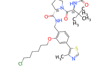 Cc1ncsc1-c1ccc(CNC(=O)[C@@H]2C[C@@H](O)CN2C(=O)[C@@H](NC(=O)C2(F)CC2)C(C)(C)C)c(OCCCCCCCl)c1